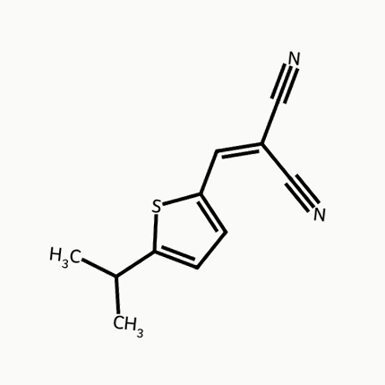 CC(C)c1ccc(C=C(C#N)C#N)s1